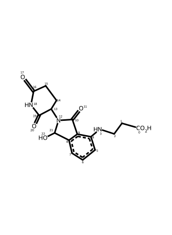 O=C(O)CCNc1cccc2c1C(=O)N(C1CCC(=O)NC1=O)C2O